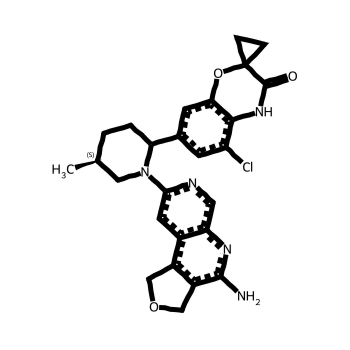 C[C@H]1CCC(c2cc(Cl)c3c(c2)OC2(CC2)C(=O)N3)N(c2cc3c4c(c(N)nc3cn2)COC4)C1